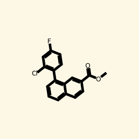 COC(=O)c1ccc2cccc(-c3ccc(F)cc3Cl)c2c1